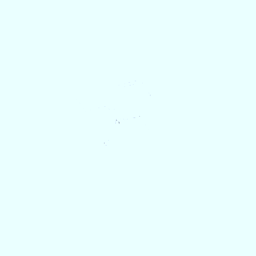 CCc1[c]ccc(C)[n+]1[O-]